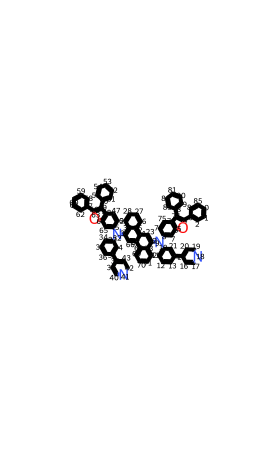 c1ccc(-c2oc3cc(N(c4cccc(-c5ccncc5)c4)c4cc5c6ccccc6c(N(c6cccc(-c7ccncc7)c6)c6ccc7c(-c8ccccc8)c(-c8ccccc8)oc7c6)cc5c5ccccc45)ccc3c2-c2ccccc2)cc1